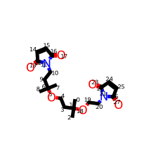 CC(C)(CCOC(C)(C)CCN1C(=O)C=CC1=O)OCCN1C(=O)C=CC1=O